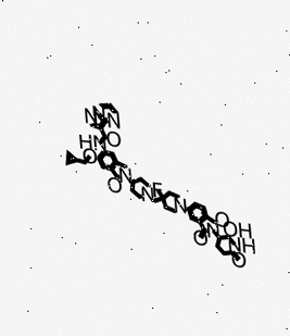 O=C1CCC(N2C(=O)c3ccc(N4CCC(F)(CN5CCC(N6Cc7cc(NC(=O)c8cnn9cccnc89)c(OCC8CC8)cc7C6=O)CC5)CC4)cc3C2=O)C(O)N1